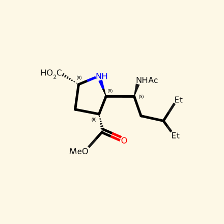 CCC(CC)C[C@H](NC(C)=O)[C@@H]1N[C@@H](C(=O)O)C[C@H]1C(=O)OC